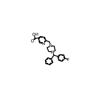 O=C(O)c1ccc(CN2CCN(C(c3ccccc3)c3ccc(F)cc3)CC2)nc1